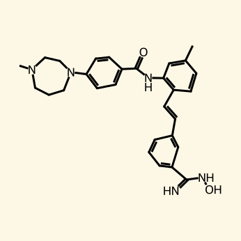 Cc1ccc(/C=C/c2cccc(C(=N)NO)c2)c(NC(=O)c2ccc(N3CCCN(C)CC3)cc2)c1